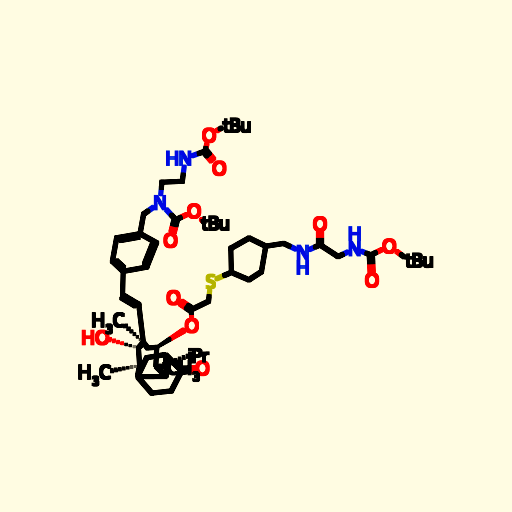 CC(C)[C@]1(C)C2C3CC2(CCC3=O)[C@@H](C)[C@H](O)[C@@](C)(/C=C/c2ccc(CN(CCNC(=O)OC(C)(C)C)C(=O)OC(C)(C)C)cc2)C[C@H]1OC(=O)CSC1CCC(CNC(=O)CNC(=O)OC(C)(C)C)CC1